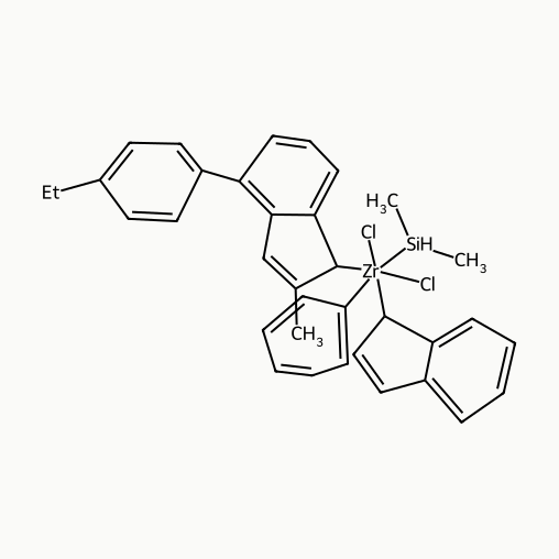 CCc1ccc(-c2cccc3c2C=C(C)[CH]3[Zr]([Cl])([Cl])([c]2ccccc2)([CH]2C=Cc3ccccc32)[SiH](C)C)cc1